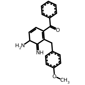 COc1ccc(CC2=C(C(=O)c3ccccc3)C=CC(N)C2=N)cc1